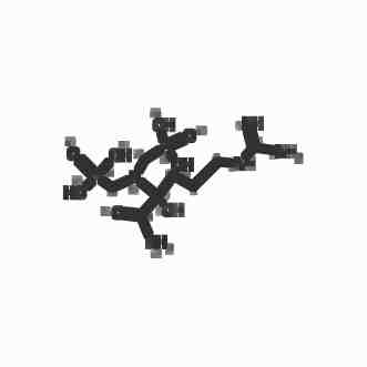 N=C(N)NCCC[C@@](O)(C(N)=O)N(CP(=O)(O)O)CP(=O)(O)O